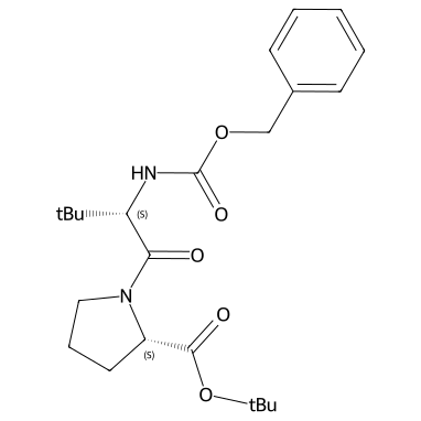 CC(C)(C)OC(=O)[C@@H]1CCCN1C(=O)[C@@H](NC(=O)OCc1ccccc1)C(C)(C)C